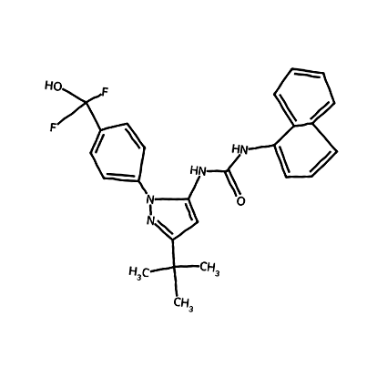 CC(C)(C)c1cc(NC(=O)Nc2cccc3ccccc23)n(-c2ccc(C(O)(F)F)cc2)n1